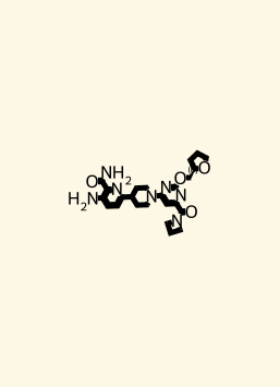 NC(=O)c1nc(C2CCN(c3cc(C(=O)N4CCC4)nc(OC[C@H]4CCCO4)n3)CC2)ccc1N